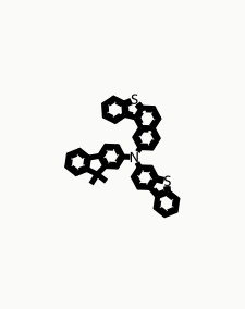 CC1(C)c2ccccc2-c2ccc(N(c3ccc4c(c3)sc3ccccc34)c3ccc4ccc5sc6ccccc6c5c4c3)cc21